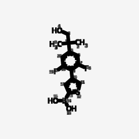 CC(C)(CO)c1cc(F)c(-c2csc(B(O)O)c2)c(F)c1